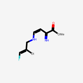 CC/C(=C\F)CN/C=C\C(=N)C(=O)OC